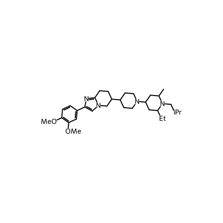 CCC1CC(N2CCC(C3CCc4nc(-c5ccc(OC)c(OC)c5)cn4C3)CC2)CC(C)N1CC(C)C